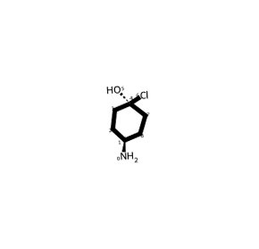 N[C@H]1CC[C@@](O)(Cl)CC1